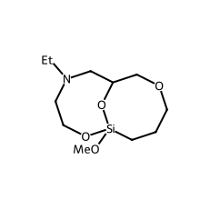 CCN1CCO[Si]2(OC)CCCOCC(C1)O2